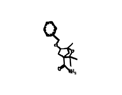 CC12CC(C(N)=O)(CC1OCc1ccccc1)C(C)(C)O2